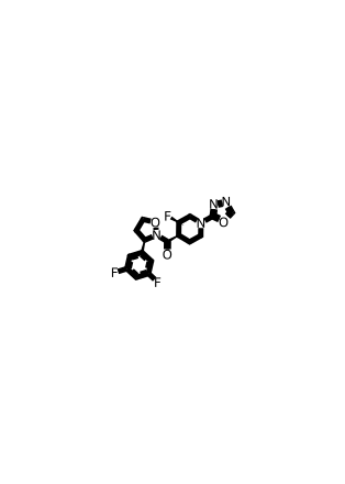 O=C([C@@H]1CCN(c2nnco2)C[C@@H]1F)N1OCC[C@@H]1c1cc(F)cc(F)c1